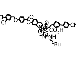 Cc1nc(NCCC(C)(C)C)sc1S(=O)(=O)N1Cc2cc3c(cc2C[C@H]1C(=O)N[C@@H](Cc1ccc(-c2ccc(C#N)cc2)cc1)C(=O)O)OCC(c1ccc(OCc2ccc(Cl)c(Cl)c2)cc1)O3